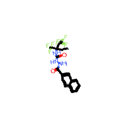 CCC(NC(=O)NNC(=O)c1ccc2ccccc2c1)(C(F)(F)F)C(F)(F)F